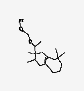 CCOCOC(C)C1(C)CC2=C(CCCC2(C)C)CC1C